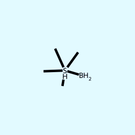 B[SH](C)(C)(C)C